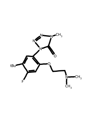 CN(C)CCOc1cc(F)c(C(C)(C)C)cc1-n1nnn(C)c1=O